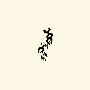 C=C/C(=C\C)c1ccc2cnc(N(I)C(=O)c3ccnc(N4CCN(C)CC4)c3)cc2c1